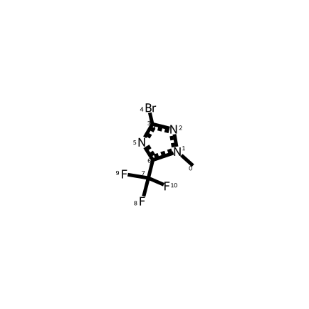 Cn1nc(Br)nc1C(F)(F)F